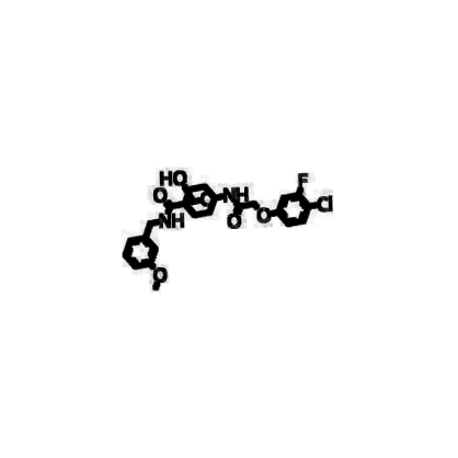 COc1cccc(CNC(=O)C23CCC(NC(=O)COc4ccc(Cl)c(F)c4)(CC2)CC3O)c1